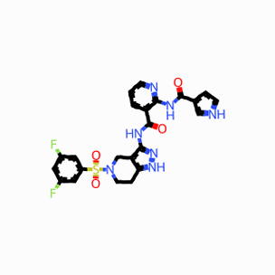 O=C(Nc1ncccc1C(=O)Nc1n[nH]c2c1CN(S(=O)(=O)c1cc(F)cc(F)c1)CC2)c1cc[nH]c1